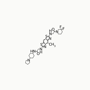 Cc1c2nc(NCC(=O)NC3CCC(N4CCCC4)CC3)sc2cc2sc(NCC(=O)N3CCCC(F)(F)C3)nc12